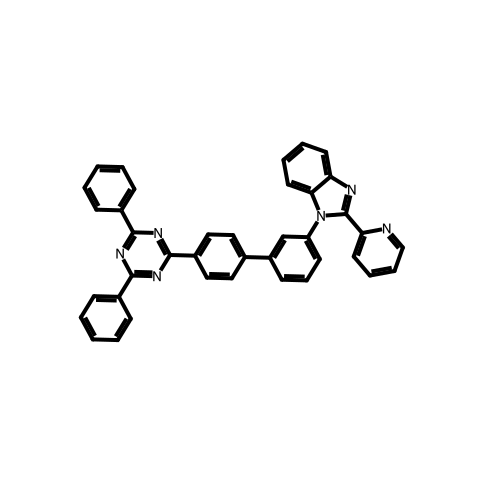 c1ccc(-c2nc(-c3ccccc3)nc(-c3ccc(-c4cccc(-n5c(-c6ccccn6)nc6ccccc65)c4)cc3)n2)cc1